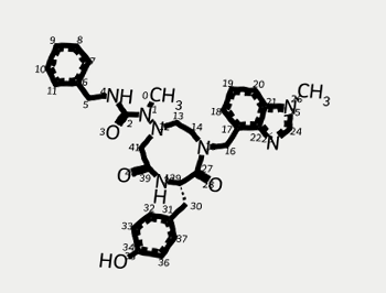 CN(C(=O)NCc1ccccc1)N1CCN(Cc2cccc3c2ncn3C)C(=O)[C@H](Cc2ccc(O)cc2)NC(=O)C1